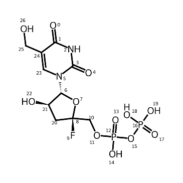 O=c1[nH]c(=O)n([C@@H]2O[C@](F)(COP(=O)(O)OP(=O)(O)O)C[C@H]2O)cc1CO